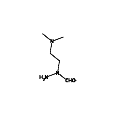 CN(C)CCN(N)[C]=O